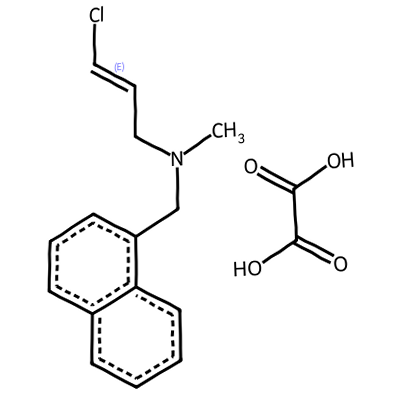 CN(C/C=C/Cl)Cc1cccc2ccccc12.O=C(O)C(=O)O